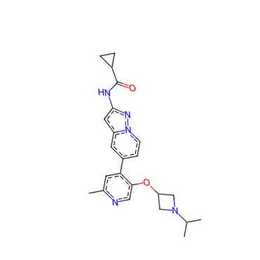 Cc1cc(-c2ccn3nc(NC(=O)C4CC4)cc3c2)c(OC2CN(C(C)C)C2)cn1